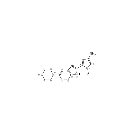 Cn1nc(N)cc1-c1nc2cc(N3CCOCC3)ccc2[nH]1